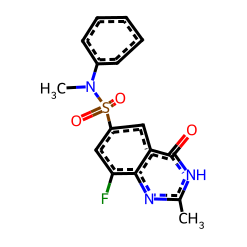 Cc1nc2c(F)cc(S(=O)(=O)N(C)c3ccccc3)cc2c(=O)[nH]1